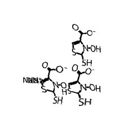 O=C([O-])C1=CSC(S)N1O.O=C([O-])C1=CSC(S)N1O.O=C([O-])C1=CSC(S)N1O.[Na+].[Na+].[Na+]